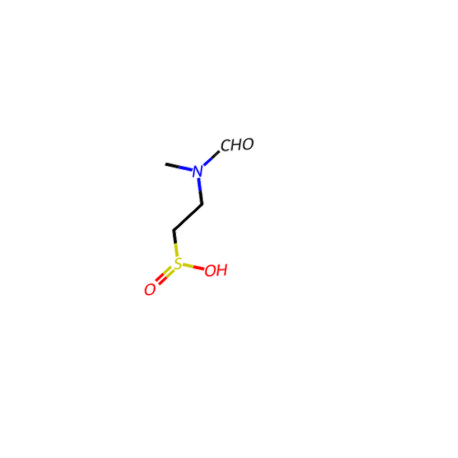 CN(C=O)CCS(=O)O